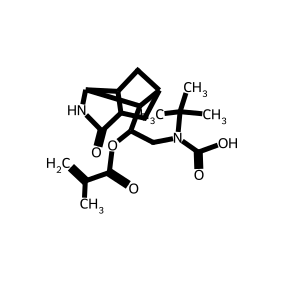 C=C(C)C(=O)OC(CN(C(=O)O)C(C)(C)C)C1C2CC3C(=O)NC1C3C2